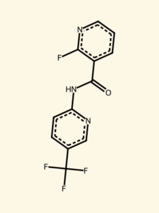 O=C(Nc1ccc(C(F)(F)F)cn1)c1cccnc1F